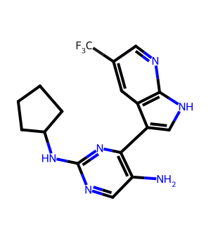 Nc1cnc(NC2CCCC2)nc1-c1c[nH]c2ncc(C(F)(F)F)cc12